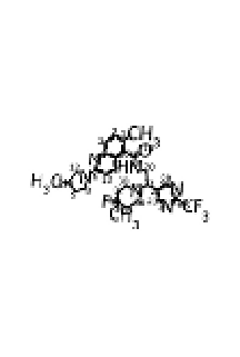 Cc1ccc2nc(N3CCC(C)C3)ccc2c1C(=O)NCC(c1cnc(C(F)(F)F)nc1)N1CCC(C)(F)CC1